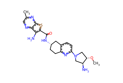 CO[C@H]1CN(c2ccc3c(n2)CC[C@H](NC(=O)c2sc4nc(C)cnc4c2N)C3)C[C@@H]1N